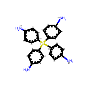 Nc1ccc(S(c2ccc(N)cc2)(c2ccc(N)cc2)c2ccc(N)cc2)cc1